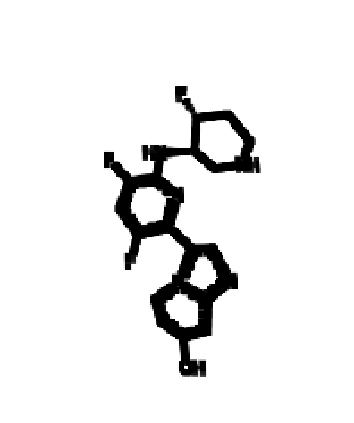 Oc1ccn2c(-c3nc(N[C@@H]4CNCC[C@H]4F)c(F)cc3F)cnc2c1